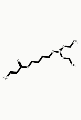 CC=CC(=O)OCCCCO[SiH](OCC)OCC